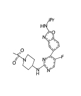 CC(C)Nc1nc2cc(-c3nc(NC4CCN(S(C)(=O)=O)CC4)ncc3F)ccc2o1